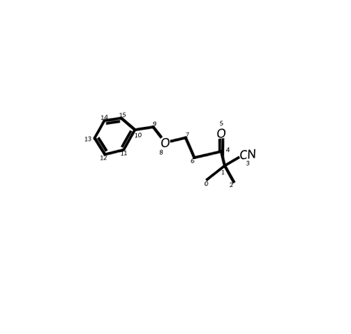 CC(C)(C#N)C(=O)CCOCc1ccccc1